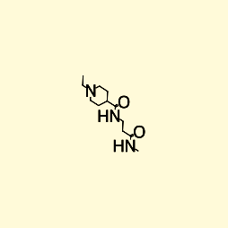 CCN1CCC(C(=O)NCCC(=O)NC)CC1